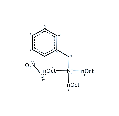 CCCCCCCC[N+](CCCCCCCC)(CCCCCCCC)Cc1ccccc1.O=[N+]([O-])[O-]